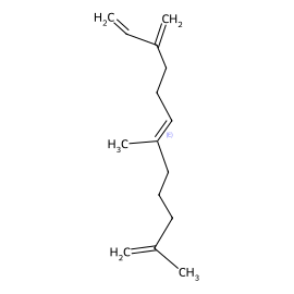 C=CC(=C)CC/C=C(\C)CCCC(=C)C